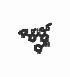 CCOC(=O)c1cnc(Nc2cccnc2)nc1Nc1cccc(-c2ncn(C)n2)c1OC